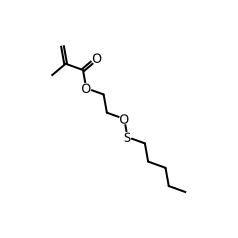 C=C(C)C(=O)OCCOSCCCCC